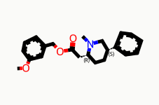 COc1cccc(COC(=O)C[C@H]2CC[C@@H](c3ccccc3)CN2C)c1